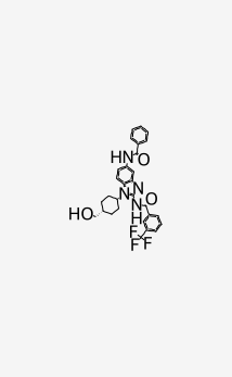 O=C(Nc1ccc2c(c1)nc(NC(=O)c1cccc(C(F)(F)F)c1)n2[C@H]1CC[C@@H](CO)CC1)c1ccccc1